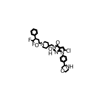 O=C(CC(c1ccccc1)C(F)F)N1CCC(O)(Cn2cnc3c(cc(Cl)n3-c3ccc(C4COCCN4)cc3)c2=O)CC1